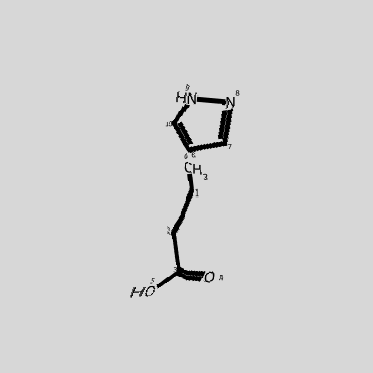 CCCC(=O)O.c1cn[nH]c1